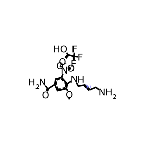 COc1cc(C(N)=O)cc([N+](=O)[O-])c1NC/C=C/CN.O=C(O)C(F)(F)F